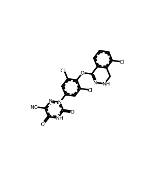 N#Cc1nn(-c2cc(Cl)c(OC3=NNCc4c(Cl)cccc43)c(Cl)c2)c(=O)[nH]c1=O